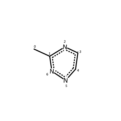 Cc1n[c]cnn1